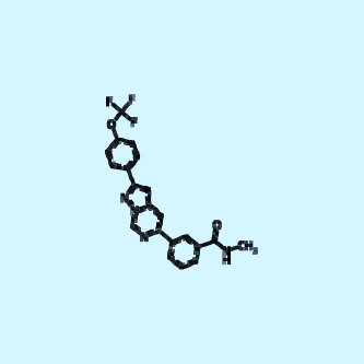 CNC(=O)c1cccc(-c2cc3cc(-c4ccc(OC(F)(F)F)cc4)nn3cn2)c1